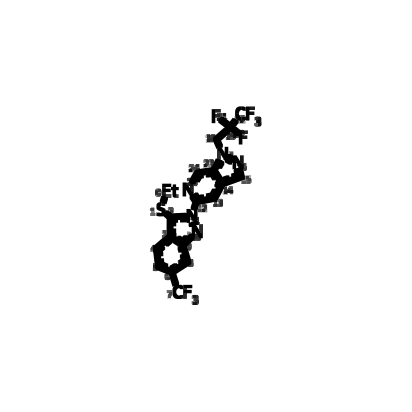 CCSc1c2ccc(C(F)(F)F)cc2nn1-c1cc2cnn(CC(F)(F)C(F)(F)F)c2cn1